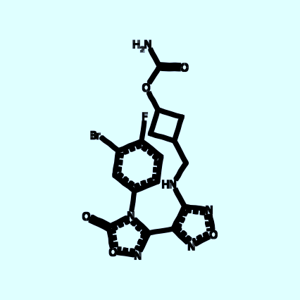 NC(=O)OC1CC(CNc2nonc2-c2noc(=O)n2-c2ccc(F)c(Br)c2)C1